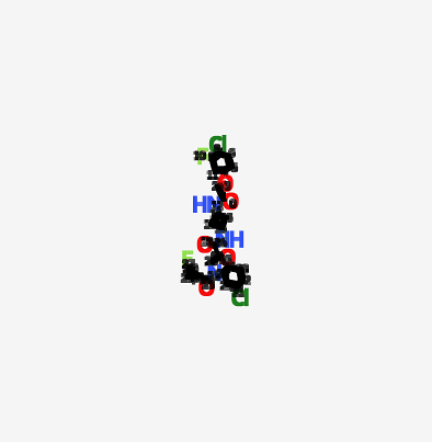 O=C(COc1ccc(Cl)c(F)c1)NC12CC(NC(=O)[C@@H]3CN(C(=O)[C@H]4C[C@H]4F)c4cc(Cl)ccc4O3)(C1)C2